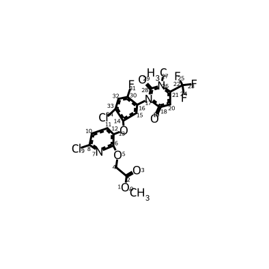 COC(=O)COc1nc(Cl)ccc1Oc1cc(-n2c(=O)cc(C(F)(F)F)n(C)c2=O)c(F)cc1Cl